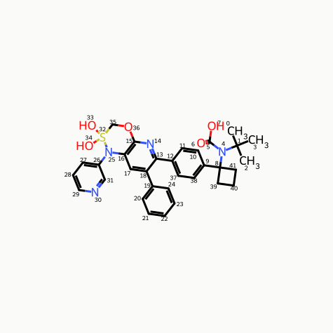 CC(C)(C)N(C(=O)O)C1(c2ccc(-c3nc4c(cc3-c3ccccc3)N(c3cccnc3)S(O)(O)CO4)cc2)CCC1